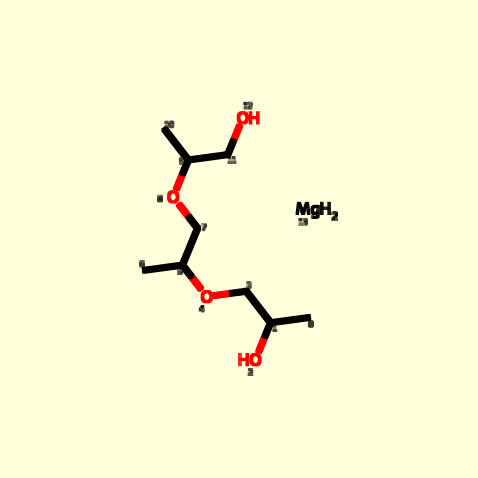 CC(O)COC(C)COC(C)CO.[MgH2]